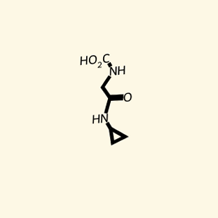 O=C(O)NCC(=O)NC1CC1